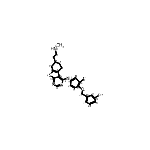 CNCCC1CCc2c(sc3ncnc(Nc4ccc(OCc5cccc(F)c5)c(Cl)c4)c23)C1